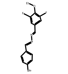 CCCc1ccc(C=NN=Cc2cc(F)c(OCC)c(F)c2)cc1